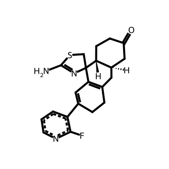 NC1=NC2(CS1)C1=C(CCC(c3cccnc3F)=C1)C[C@@H]1CC(=O)CC[C@H]12